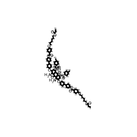 C=CC(=O)OCCCCCCOc1ccc(C(=O)Oc2ccc(-c3ccc(Oc4cc(N[S+]([O-])c5ccc(C)cc5)c5c(c4N)C(=O)c4c(N)c(Oc6ccc(-c7ccc(OC(=O)c8ccc(OCCCCCCOC(=O)C=C)cc8)cc7)cc6)cc(NS(=O)(=O)c6ccc(C)cc6)c4C5=O)cc3)cc2)cc1